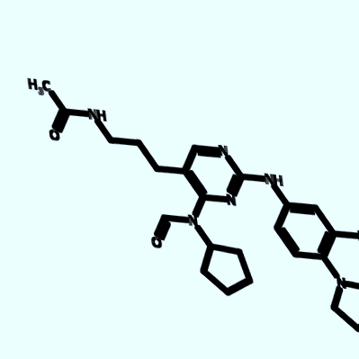 CC(=O)NCCCc1cnc(Nc2ccc(N3CCCC3)c(F)c2)nc1N(C=O)C1CCCC1